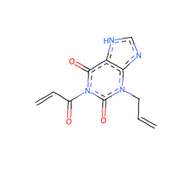 C=CCn1c(=O)n(C(=O)C=C)c(=O)c2[nH]cnc21